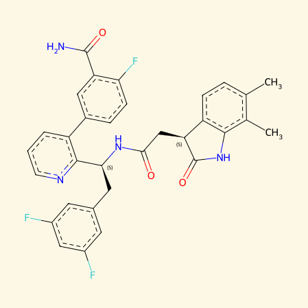 Cc1ccc2c(c1C)NC(=O)[C@H]2CC(=O)N[C@@H](Cc1cc(F)cc(F)c1)c1ncccc1-c1ccc(F)c(C(N)=O)c1